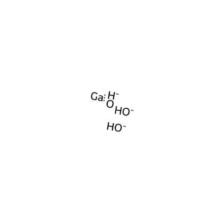 [Ga].[OH-].[OH-].[OH-]